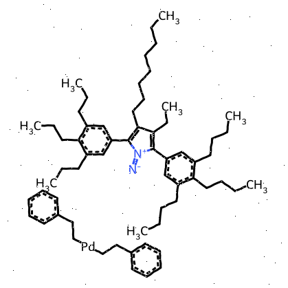 CCCCCCCCC1=C(c2cc(CCC)c(CCC)c(CCC)c2)[N+](=[N-])C(c2cc(CCCC)c(CCCC)c(CCCC)c2)=C1CC.c1ccc(C[CH2][Pd][CH2]Cc2ccccc2)cc1